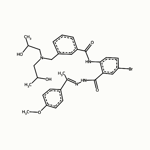 COc1ccc(/C(C)=N/NC(=O)c2cc(Br)ccc2NC(=O)c2cccc(CN(CC(C)O)CC(C)O)c2)cc1